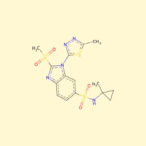 Cc1nnc(-n2c(S(C)(=O)=O)nc3ccc(S(=O)(=O)NC4(C)CC4)cc32)s1